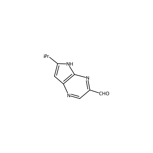 CC(C)c1cc2ncc(C=O)nc2[nH]1